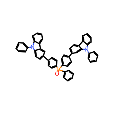 O=P(c1ccccc1)(c1ccc(-c2ccc3c(c2)c2ccccc2n3-c2ccccc2)cc1)c1ccc(-c2ccc3c4ccccc4n(-c4ccccc4)c3c2)cc1